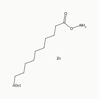 CCCCCCCCCCCCCCCCCC(=O)[O][AlH2].[Zn]